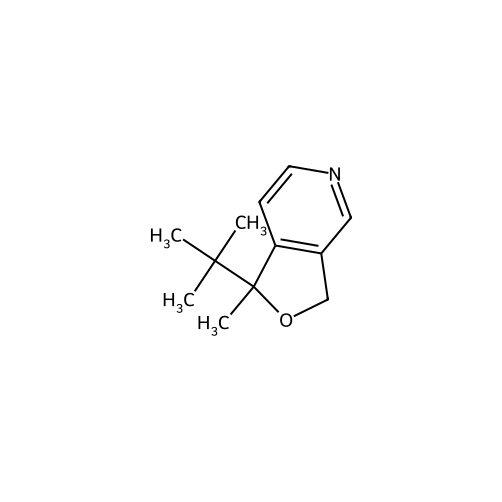 CC(C)(C)C1(C)OCc2cnccc21